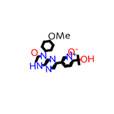 CO[C@H]1CC[C@@H](N2C(=O)CNc3ncc(-c4ccc(C(C)(C)O)[n+]([O-])c4)nc32)CC1